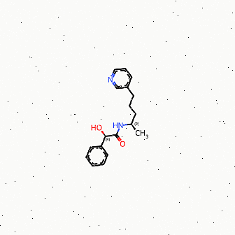 C[C@H](CCCc1cccnc1)NC(=O)[C@H](O)c1ccccc1